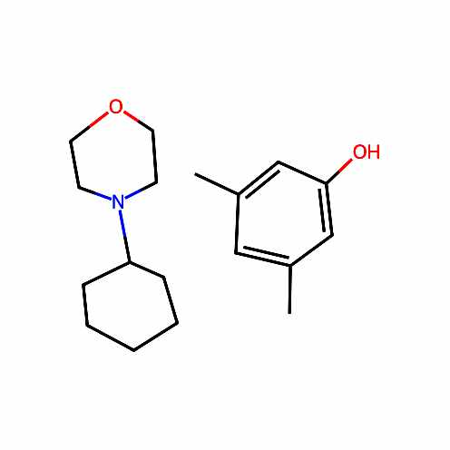 C1CCC(N2CCOCC2)CC1.Cc1cc(C)cc(O)c1